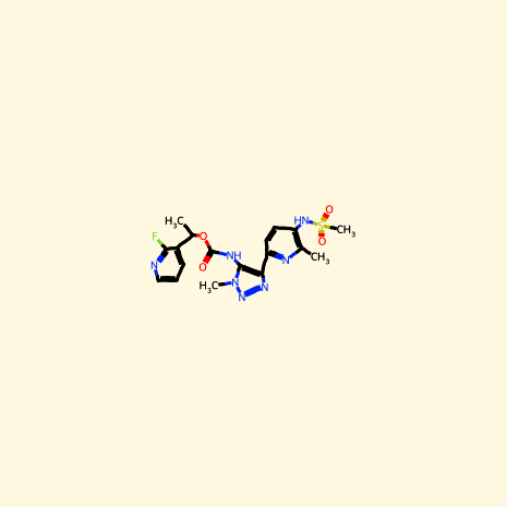 Cc1nc(-c2nnn(C)c2NC(=O)OC(C)c2cccnc2F)ccc1NS(C)(=O)=O